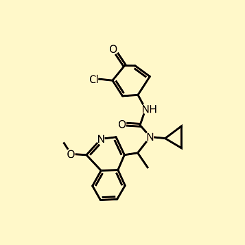 COc1ncc(C(C)N(C(=O)NC2C=CC(=O)C(Cl)=C2)C2CC2)c2ccccc12